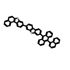 c1ccc2c(-c3c4ccccc4c(-c4ccc5c(c4)sc4cc(-c6ccc7c(c6)sc6ccc8ccccc8c67)ccc45)c4ccccc34)cccc2c1